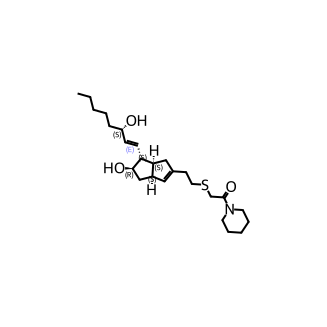 CCCCC[C@H](O)/C=C/[C@@H]1[C@H]2CC(CCSCC(=O)N3CCCCC3)=C[C@H]2C[C@H]1O